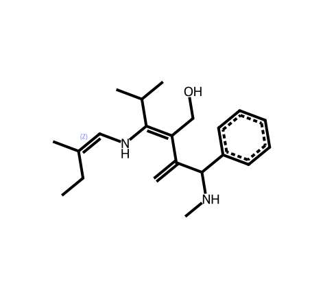 C=C(C(CO)=C(N/C=C(/C)CC)C(C)C)C(NC)c1ccccc1